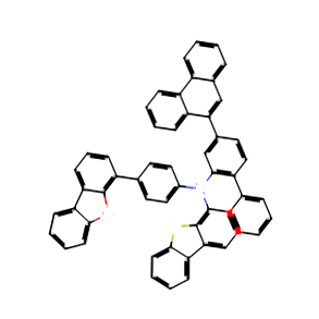 c1ccc(-c2ccc(-c3cc4ccccc4c4ccccc34)cc2N(c2ccc(-c3cccc4c3oc3ccccc34)cc2)c2cccc3c2sc2ccccc23)cc1